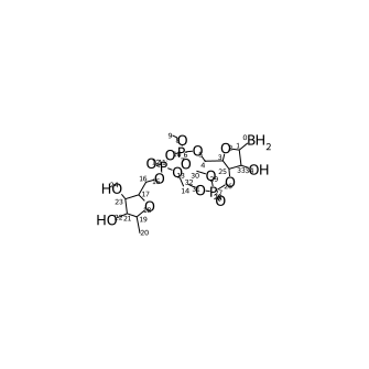 BC1OC(COP(=O)(OC)OP(=O)(OC)OCC2OC(C)C(O)C2O)C(OP(=O)(OC)OC)C1O